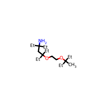 CCC(N)(CC)CC(CC)(CC)OCCOC(C)(CC)CC